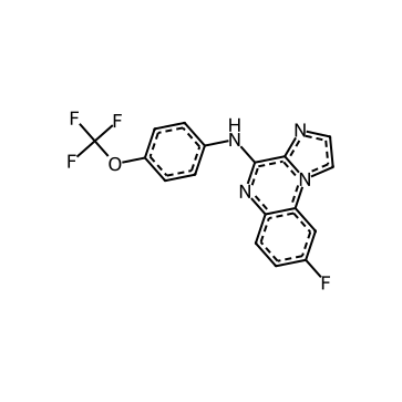 Fc1ccc2nc(Nc3ccc(OC(F)(F)F)cc3)c3nccn3c2c1